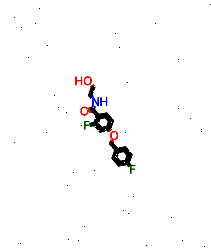 O=C(NCCO)c1ccc(OCc2ccc(F)cc2)cc1F